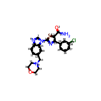 NC(=O)c1sc(-n2cnc3ccc(CN4CCOCC4)cc32)nc1-c1cccc(Cl)c1